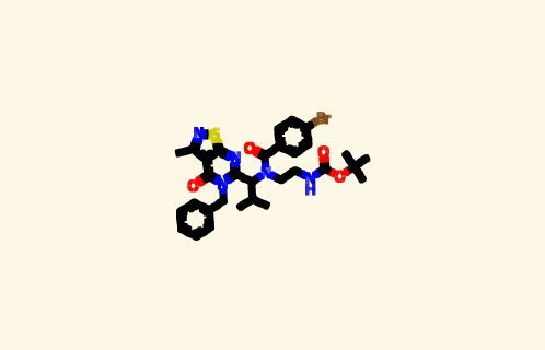 Cc1nsc2nc(C(C(C)C)N(CCNC(=O)OC(C)(C)C)C(=O)c3ccc(Br)cc3)n(Cc3ccccc3)c(=O)c12